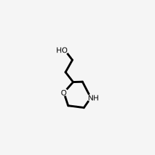 OCCC1CNCCO1